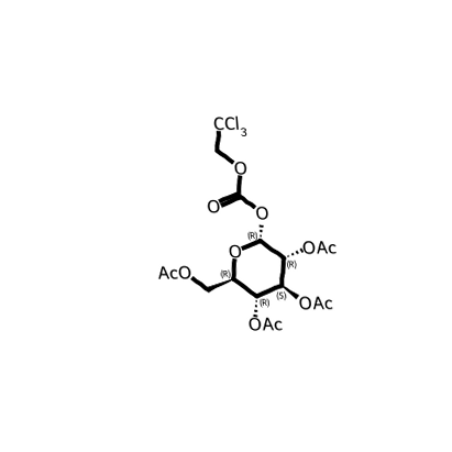 CC(=O)OC[C@H]1O[C@H](OC(=O)OCC(Cl)(Cl)Cl)[C@H](OC(C)=O)[C@@H](OC(C)=O)[C@@H]1OC(C)=O